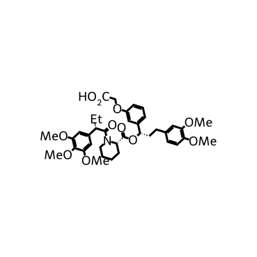 CC[C@H](C(=O)N1CCCC[C@H]1C(=O)O[C@@H](CCc1ccc(OC)c(OC)c1)c1cccc(OCC(=O)O)c1)c1cc(OC)c(OC)c(OC)c1